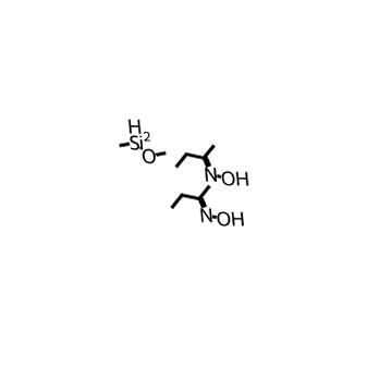 CCC(C)=NO.CCC(C)=NO.CO[SiH2]C